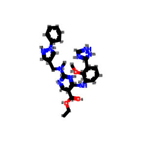 CCOC(=O)c1cnc(N(C)Cc2cnn(-c3ccccc3)c2)nc1Nc1cccc(-c2nc[nH]n2)c1OC